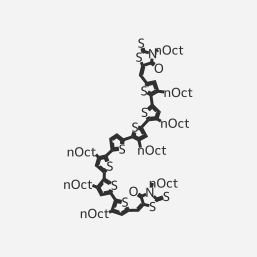 CCCCCCCCc1cc(/C=C2/SC(=S)N(CCCCCCCC)C2=O)sc1-c1cc(CCCCCCCC)c(-c2cc(CCCCCCCC)c(-c3ccc(-c4sc(-c5sc(-c6sc(/C=C7/SC(=S)N(CCCCCCCC)C7=O)cc6CCCCCCCC)cc5CCCCCCCC)cc4CCCCCCCC)s3)s2)s1